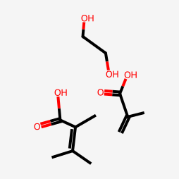 C=C(C)C(=O)O.CC(C)=C(C)C(=O)O.OCCO